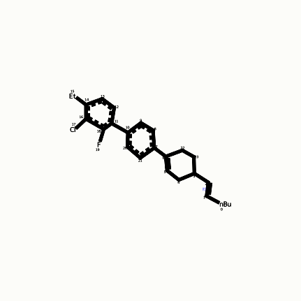 CCCC/C=C/C1CC=C(c2ccc(-c3ccc(CC)c(Cl)c3F)cc2)CC1